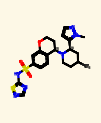 Cn1nccc1[C@H]1CC(C(F)(F)F)CCN1[C@@H]1CCOc2cc(S(=O)(=O)Nc3ncns3)ccc21